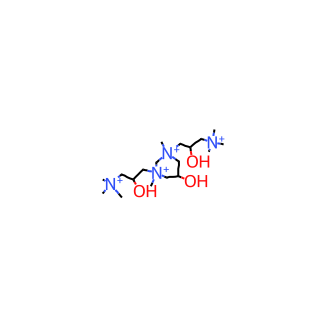 C[N+](C)(C)CC(O)C[N+]1(C)CC(O)C[N+](C)(CC(O)C[N+](C)(C)C)C1